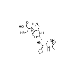 CC(=O)NC(CN)C(NCC(=O)NC(CN)C(=O)NC(CS)C(=O)O)=C1CCC1